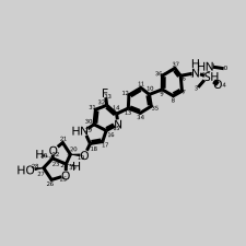 CN[SH](C)(=O)Nc1ccc(-c2ccc(-c3nc4cc(O[C@@H]5CO[C@H]6[C@@H]5OC[C@H]6O)[nH]c4cc3F)cc2)cc1